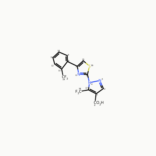 O=C(O)c1cnn(-c2nc(-c3ccccc3C(F)(F)F)cs2)c1C(F)(F)F